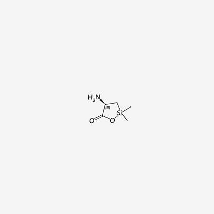 C[Si]1(C)C[C@H](N)C(=O)O1